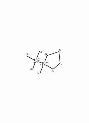 C[N+]1([Si](C)(C)C)CCCC1